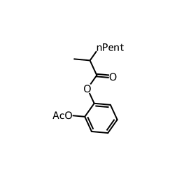 CCCCCC(C)C(=O)Oc1ccccc1OC(C)=O